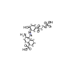 Nc1ccc2c(S(=O)(=O)O)cccc2c1/N=N/c1cc(S(=O)(=O)CCOS(=O)(=O)O)ccc1O